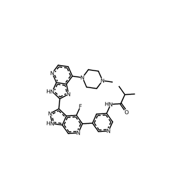 CC(C)C(=O)Nc1cncc(-c2ncc3[nH]nc(-c4nc5c(N6CCN(C)CC6)ccnc5[nH]4)c3c2F)c1